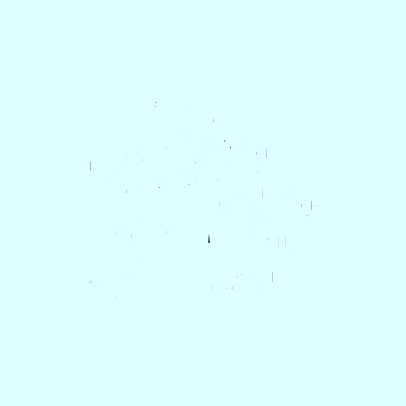 C=C(Cl)/C(C[C@H](OC(=O)C(NS(=O)(=O)c1ccccc1)C(C)(C)SC(C)=O)c1ccc(OC(F)F)c(OCC2CC2)c1)=C(\C)Cl